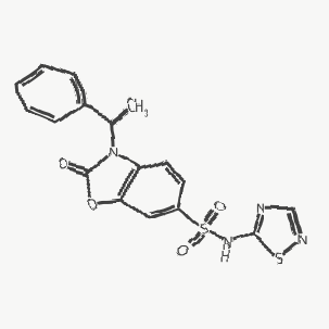 CC(c1ccccc1)n1c(=O)oc2cc(S(=O)(=O)Nc3ncns3)ccc21